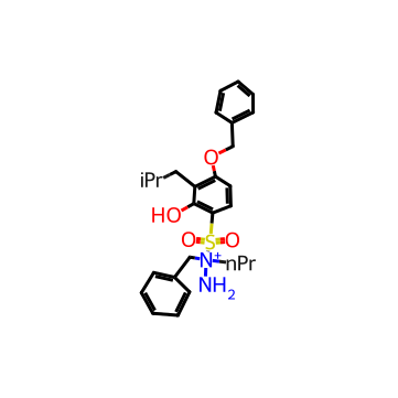 CCC[N+](N)(Cc1ccccc1)S(=O)(=O)c1ccc(OCc2ccccc2)c(CC(C)C)c1O